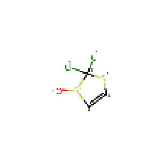 [O-][S+]1C=CSC1(Cl)Cl